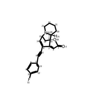 O=C1C=C2C(C#Cc3ccc(F)cc3)=CC3C[C@@]2(O1)[C@H]1CCCCN31